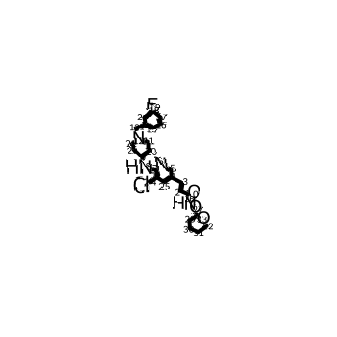 O=C(C=Cc1cnc(NC2CCN(Cc3cccc(F)c3)CC2)c(Cl)c1)NOC1CCCCO1